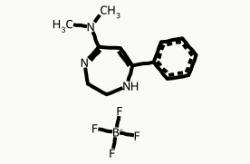 CN(C)C1=NCCNC(c2ccccc2)=C1.F[B-](F)(F)F